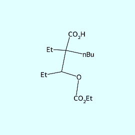 CCCCC(CC)(C(=O)O)C(CC)OC(=O)OCC